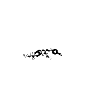 CCNC(=O)N1CC2CC(CN(CN(CCOc3ccc(C#N)cc3)C(=O)OC)C2)C1